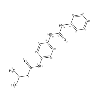 CC(C)CC(=O)Nc1ccc(NC(=O)Nc2ccccc2)cc1